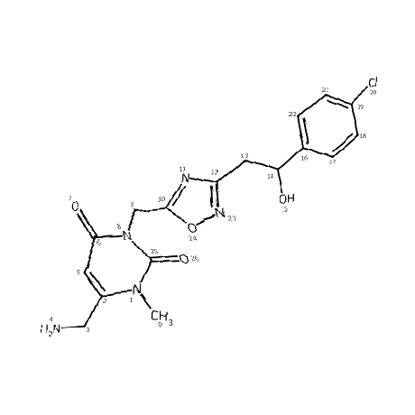 Cn1c(CN)cc(=O)n(Cc2nc(CC(O)c3ccc(Cl)cc3)no2)c1=O